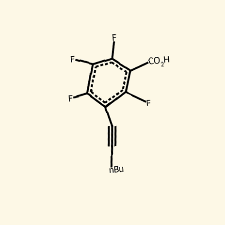 CCCCC#Cc1c(F)c(F)c(F)c(C(=O)O)c1F